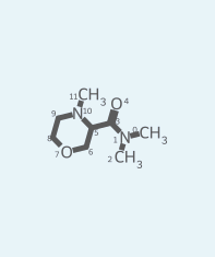 CN(C)C(=O)C1COCCN1C